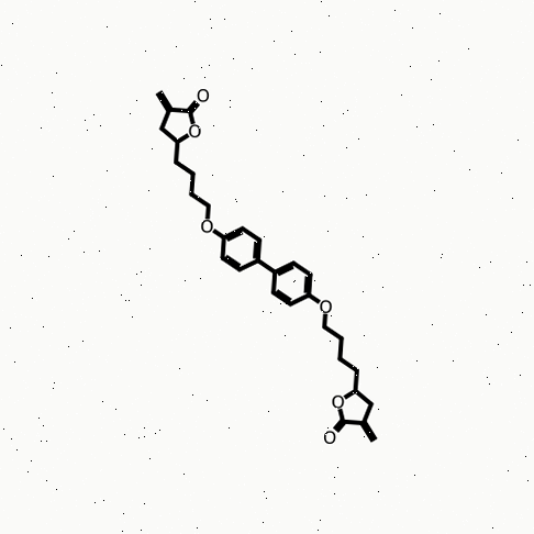 C=C1CC(CCCCOc2ccc(-c3ccc(OCCCCC4CC(=C)C(=O)O4)cc3)cc2)OC1=O